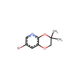 CC1(C)COc2cc(Br)cnc2O1